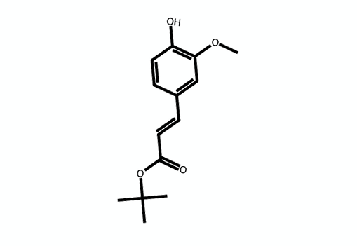 COc1cc(C=CC(=O)OC(C)(C)C)ccc1O